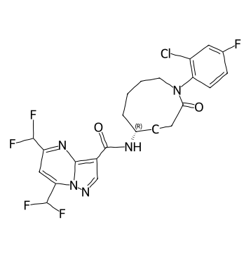 O=C(N[C@@H]1CCCCN(c2ccc(F)cc2Cl)C(=O)CC1)c1cnn2c(C(F)F)cc(C(F)F)nc12